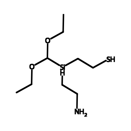 CCOC(OCC)[SiH](CCN)CCS